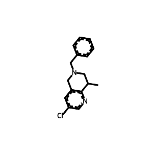 CC1CN(Cc2ccccc2)Cc2cc(Cl)cnc21